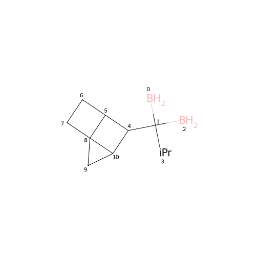 BC(B)(C(C)C)C1C2CCC23CC13